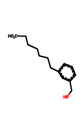 O=C(O)CCCCCCc1cccc(CO)c1